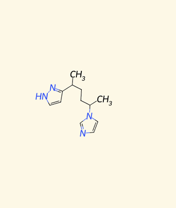 CC(CCC(C)n1ccnc1)c1cc[nH]n1